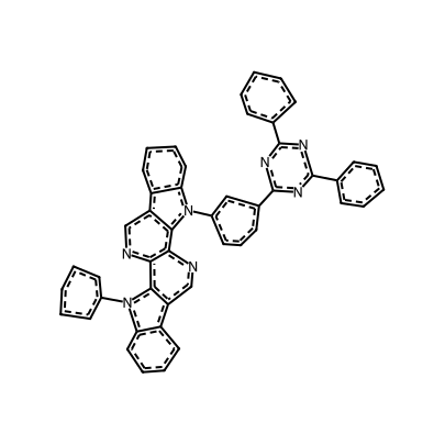 c1ccc(-c2nc(-c3ccccc3)nc(-c3cccc(-n4c5ccccc5c5cnc6c(ncc7c8ccccc8n(-c8ccccc8)c76)c54)c3)n2)cc1